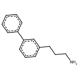 NCCCc1cccc(-c2c[c]ccc2)c1